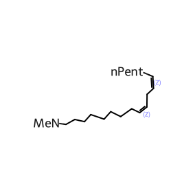 CCCCC/C=C\C/C=C\CCCCCCCCNC